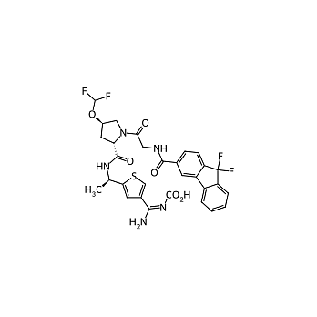 C[C@@H](NC(=O)[C@@H]1C[C@@H](OC(F)F)CN1C(=O)CNC(=O)c1ccc2c(c1)-c1ccccc1C2(F)F)c1cc(/C(N)=N\C(=O)O)cs1